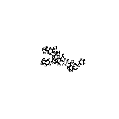 CCc1c(N2CCN(C(=O)c3ncnc(C)c3OCc3ccccc3)CC2)c(=O)n2nc(-c3ccc4ccoc4c3)nc2n1CC(=O)Nc1ccc(C(F)(F)F)cc1Cl